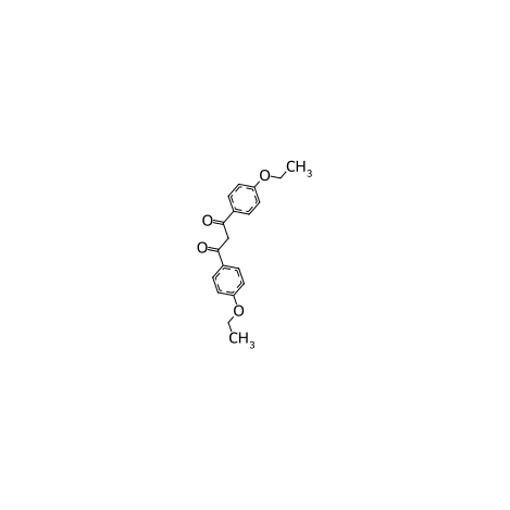 CCOc1ccc(C(=O)CC(=O)c2ccc(OCC)cc2)cc1